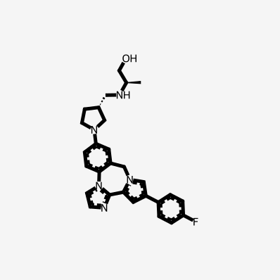 C[C@H](CO)NC[C@H]1CCN(c2ccc3c(c2)Cn2cc(-c4ccc(F)cc4)cc2-c2nccn2-3)C1